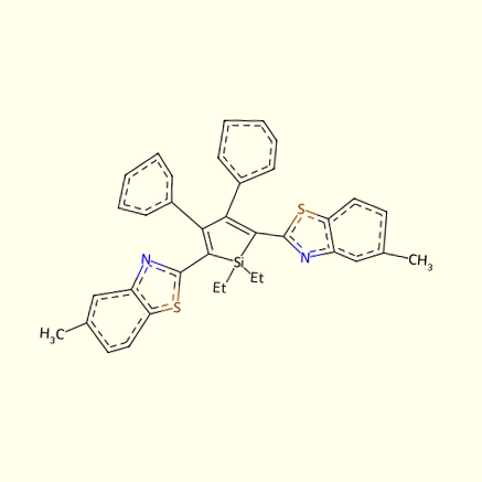 CC[Si]1(CC)C(c2nc3cc(C)ccc3s2)=C(c2ccccc2)C(c2ccccc2)=C1c1nc2cc(C)ccc2s1